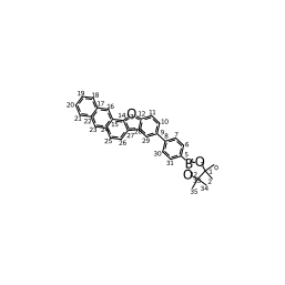 CC1(C)OB(c2ccc(-c3ccc4oc5c6cc7ccccc7cc6ccc5c4c3)cc2)OC1(C)C